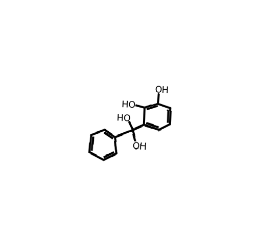 Oc1cccc(C(O)(O)c2ccccc2)c1O